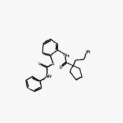 CC(C)CCC1(C(=O)Nc2ccccc2SC(=O)Nc2ccccc2)CCCC1